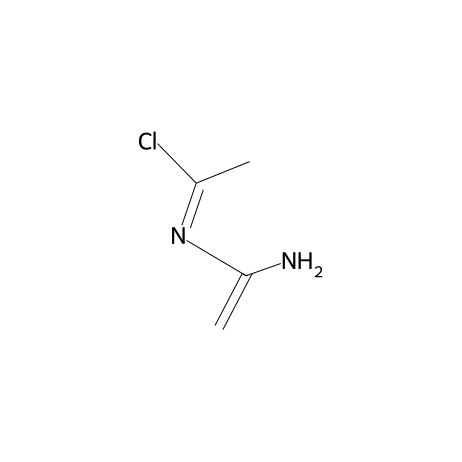 C=C(N)/N=C(\C)Cl